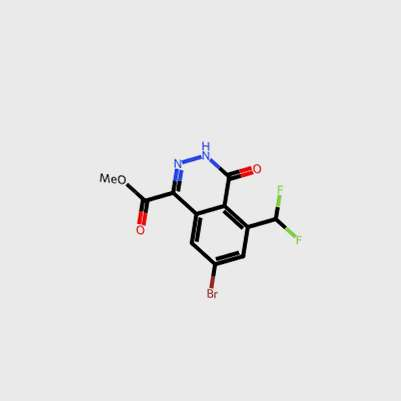 COC(=O)c1n[nH]c(=O)c2c(C(F)F)cc(Br)cc12